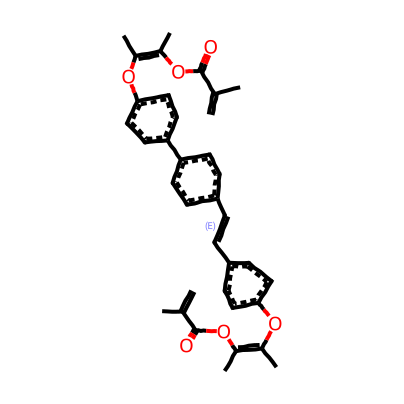 C=C(C)C(=O)OC(C)=C(C)Oc1ccc(/C=C/c2ccc(-c3ccc(OC(C)=C(C)OC(=O)C(=C)C)cc3)cc2)cc1